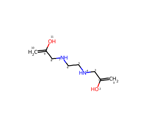 C=C(O)CNCCNCC(=C)O